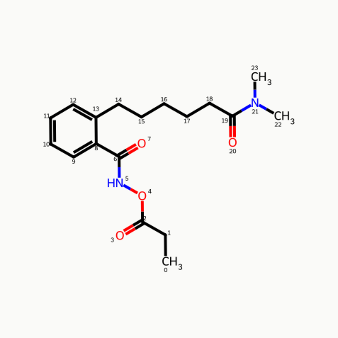 CCC(=O)ONC(=O)c1ccccc1CCCCCC(=O)N(C)C